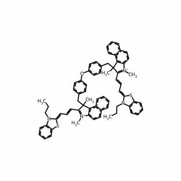 CCCN1/C(=C/C=C/C2=[N+](C)c3ccc4ccccc4c3C2(C)Cc2ccc(Oc3ccc(CC4(C)C(/C=C/C=C5\Sc6ccccc6N5CCC)=[N+](C)c5ccc6ccccc6c54)cc3)cc2)Sc2ccccc21